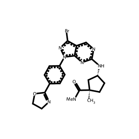 CNC(=O)[C@]1(C)CC[C@@H](Nc2ncc3c(Br)nn(-c4ccc(C5=NCCO5)cc4)c3n2)C1